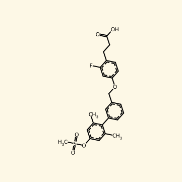 Cc1cc(OS(C)(=O)=O)cc(C)c1-c1cccc(COc2ccc(CCC(=O)O)c(F)c2)c1